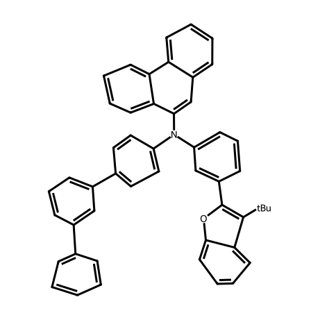 CC(C)(C)c1c(-c2cccc(N(c3ccc(-c4cccc(-c5ccccc5)c4)cc3)c3cc4ccccc4c4ccccc34)c2)oc2ccccc12